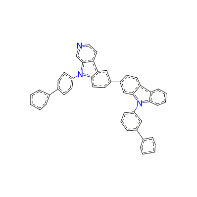 c1ccc(-c2ccc(-n3c4ccc(-c5ccc6c7ccccc7n(-c7cccc(-c8ccccc8)c7)c6c5)cc4c4ccncc43)cc2)cc1